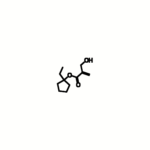 C=C(CO)C(=O)OC1(CC)CCCC1